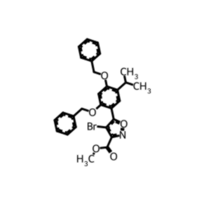 COC(=O)c1noc(-c2cc(C(C)C)c(OCc3ccccc3)cc2OCc2ccccc2)c1Br